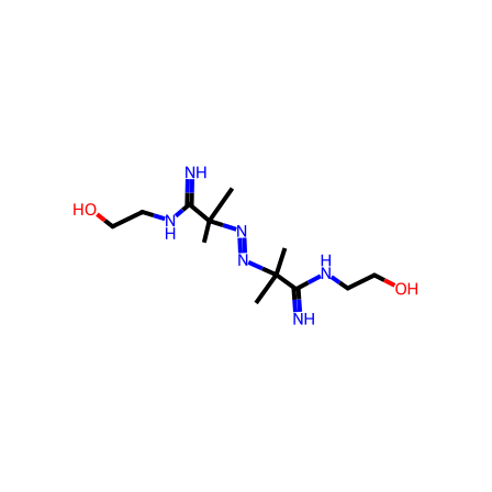 CC(C)(N=NC(C)(C)C(=N)NCCO)C(=N)NCCO